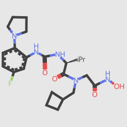 CC(C)[C@H](NC(=O)Nc1cc(F)ccc1N1CCCC1)C(=O)N(CC(=O)NO)CC1CCC1